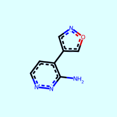 Nc1nnccc1-c1cnoc1